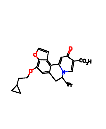 CC(C)C1Cc2cc(OCCC3CC3)c3occc3c2-c2cc(=O)c(C(=O)O)cn21